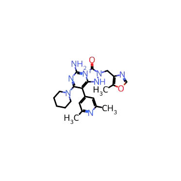 Cc1cc(-c2c(N3CCCCC3)nc(N)[n+]3c(=O)n(Cc4ncoc4C)[nH]c23)cc(C)n1